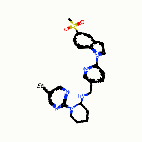 CCc1cnc(N2CCCCC2NCc2ccc(-n3ccc4cc(S(C)(=O)=O)ccc43)nc2)nc1